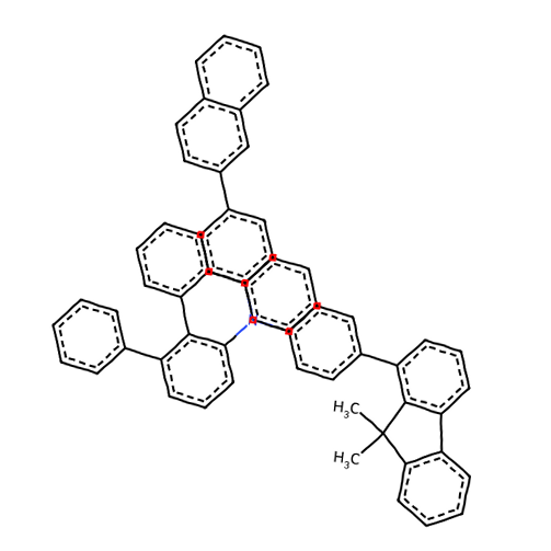 CC1(C)c2ccccc2-c2cccc(-c3ccc(N(c4ccc(-c5ccc6ccccc6c5)cc4)c4cccc(-c5ccccc5)c4-c4ccccc4-c4ccccc4)cc3)c21